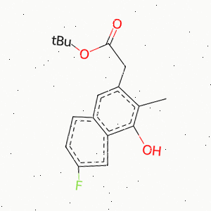 Cc1c(CC(=O)OC(C)(C)C)cc2ccc(F)cc2c1O